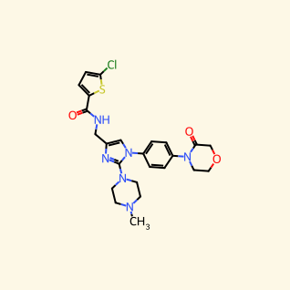 CN1CCN(c2nc(CNC(=O)c3ccc(Cl)s3)cn2-c2ccc(N3CCOCC3=O)cc2)CC1